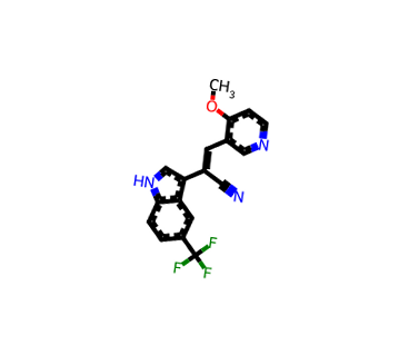 COc1ccncc1/C=C(\C#N)c1c[nH]c2ccc(C(F)(F)F)cc12